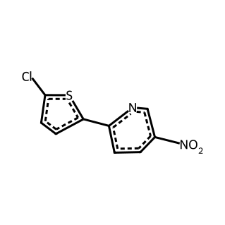 O=[N+]([O-])c1ccc(-c2ccc(Cl)s2)nc1